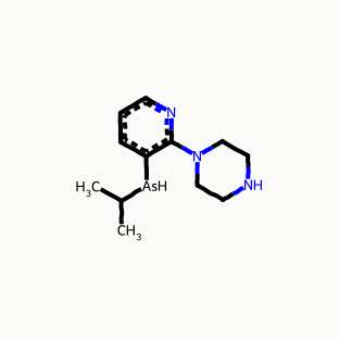 CC(C)[AsH]c1cccnc1N1CCNCC1